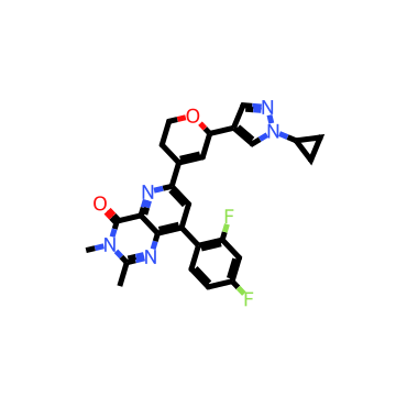 Cc1nc2c(-c3ccc(F)cc3F)cc(C3=CC(c4cnn(C5CC5)c4)OCC3)nc2c(=O)n1C